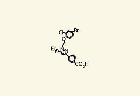 CCOc1cc(-c2ccc(C(=O)O)cc2)nn1CCOc1ccc(Br)cc1Cl